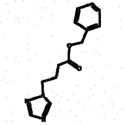 O=C(CCCn1cncn1)OCc1ccccc1